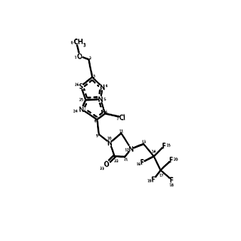 COCc1nn2c(Cl)c(CN3CN(CC(F)(F)C(F)(F)F)CC3=O)nc2s1